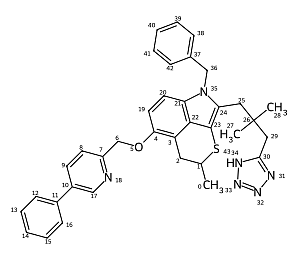 CC1Cc2c(OCc3ccc(-c4ccccc4)cn3)ccc3c2c(c(CC(C)(C)Cc2nnn[nH]2)n3Cc2ccccc2)S1